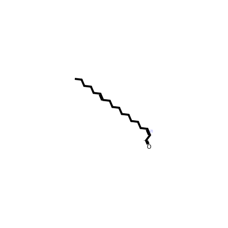 CCCCCC=CCCCCCCCC/C=C\[C]=O